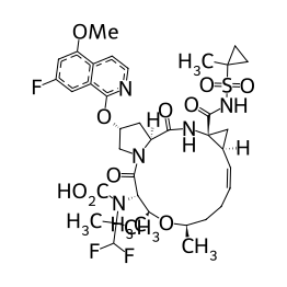 COc1cc(F)cc2c(O[C@@H]3C[C@H]4C(=O)N[C@]5(C(=O)NS(=O)(=O)C6(C)CC6)C[C@H]5/C=C\CC[C@@H](C)O[C@@H](C)[C@H](N(C(=O)O)C(C)(C)C(F)F)C(=O)N4C3)nccc12